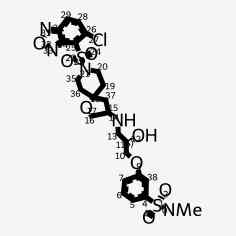 CNS(=O)(=O)c1cccc(OC[C@@H](O)CNC2COC3(CCN(S(=O)(=O)c4c(Cl)ccc5nonc45)CC3)C2)c1